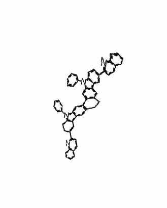 C1=C(c2ccc3ccccc3n2)CCc2c1c1cc3c(cc1n2-c1ccccc1)-c1cc2c(cc1CC3)c1cc(-c3ccc4ccccc4n3)ccc1n2-c1ccccc1